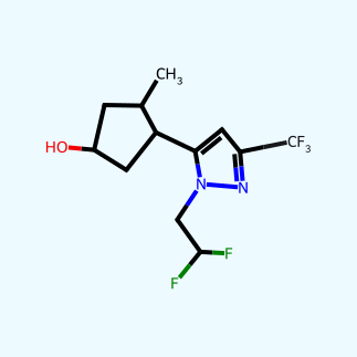 CC1CC(O)CC1c1cc(C(F)(F)F)nn1CC(F)F